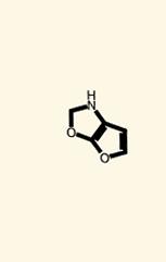 c1cc2c(o1)OCN2